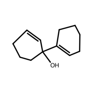 OC1(C2=CCCCC2)C=CCCC1